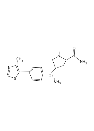 Cc1ncsc1-c1ccc([C@@H](C)C2CNC(C(N)=O)C2)cc1